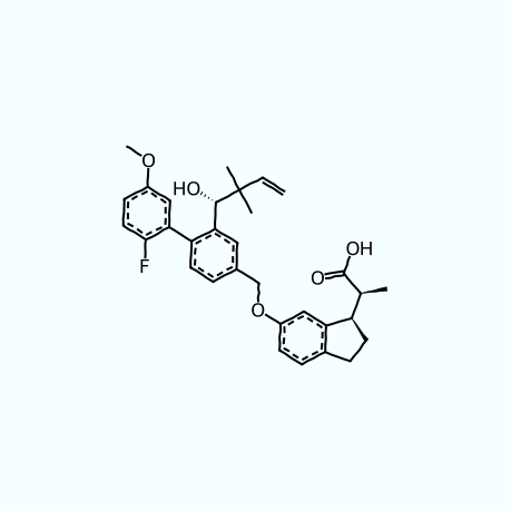 C=CC(C)(C)[C@@H](O)c1cc(COc2ccc3c(c2)[C@@H]([C@H](C)C(=O)O)CC3)ccc1-c1cc(OC)ccc1F